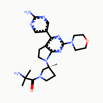 CC(C)(N)C(=O)N1CC[C@](C)(N2CCc3c(-c4cnc(N)nc4)nc(N4CCOCC4)nc32)C1